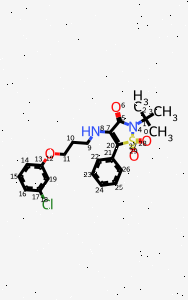 CC(C)(C)N1C(=O)C(NCCCOc2cccc(Cl)c2)=C(c2ccccc2)S1(=O)=O